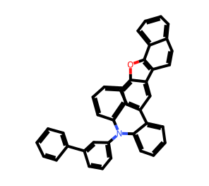 c1ccc(-c2cccc(N(c3ccccc3)c3ccccc3-c3ccc4oc5c6ccccc6ccc5c4c3)c2)cc1